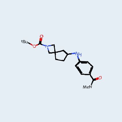 CNC(=O)c1ccc(NC2CCC3(C2)CN(C(=O)OC(C)(C)C)C3)cc1